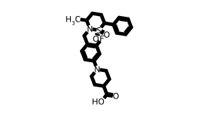 CC1CCC(c2ccccc2)S(=O)(=O)N1Cc1ccc(N2CCC(C(=O)O)CC2)cc1F